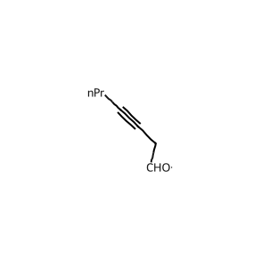 CCCC#CC[C]=O